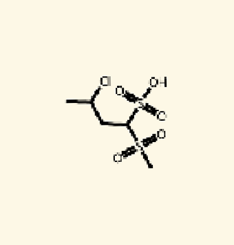 CC(Cl)CC(S(C)(=O)=O)S(=O)(=O)O